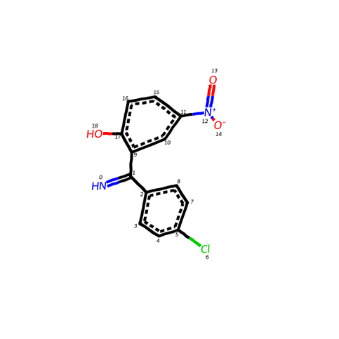 N=C(c1ccc(Cl)cc1)c1cc([N+](=O)[O-])ccc1O